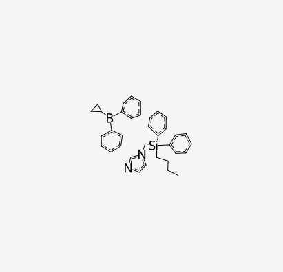 CCCC[Si](Cn1ccnc1)(c1ccccc1)c1ccccc1.c1ccc(B(c2ccccc2)C2CC2)cc1